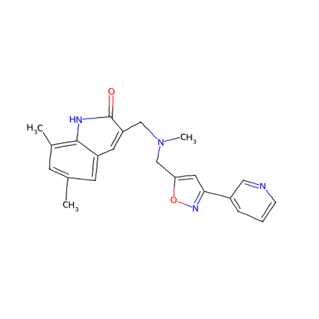 Cc1cc(C)c2[nH]c(=O)c(CN(C)Cc3cc(-c4cccnc4)no3)cc2c1